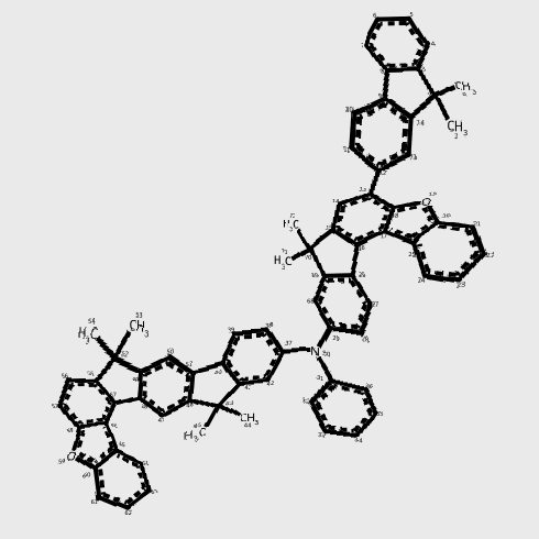 CC1(C)c2ccccc2-c2ccc(-c3cc4c(c5c3oc3ccccc35)-c3ccc(N(c5ccccc5)c5ccc6c(c5)C(C)(C)c5cc7c(cc5-6)C(C)(C)c5ccc6oc8ccccc8c6c5-7)cc3C4(C)C)cc21